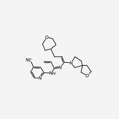 C=C/C(=N\C(=C/CC1CCOCC1)N1CCC2(CCOC2)C1)Nc1cc(C#N)ccn1